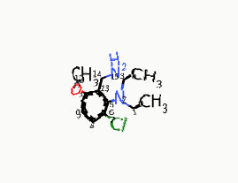 CCN(CC)c1c(Cl)ccc(OC)c1CN